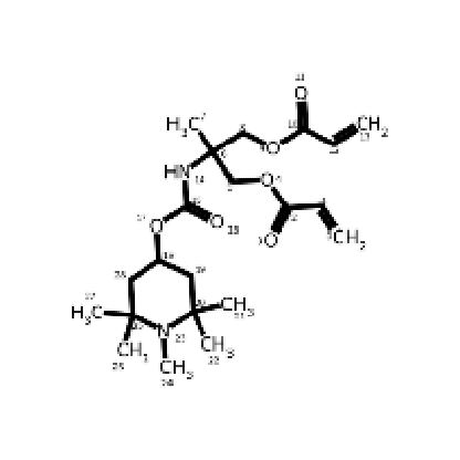 C=CC(=O)OCC(C)(COC(=O)C=C)NC(=O)OC1CC(C)(C)N(C)C(C)(C)C1